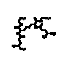 N[C@@H](CCC(=O)N[C@H](CSSC[C@@H](NC(=O)CC[C@H](N)C(=O)O)C(=O)NCC(=O)O)C(=O)NCC(=O)O)C(=O)O